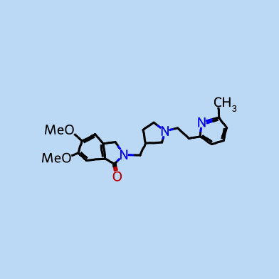 COc1cc2c(cc1OC)C(=O)N(CC1CCN(CCc3cccc(C)n3)C1)C2